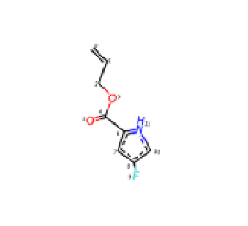 C=CCOC(=O)c1cc(F)c[nH]1